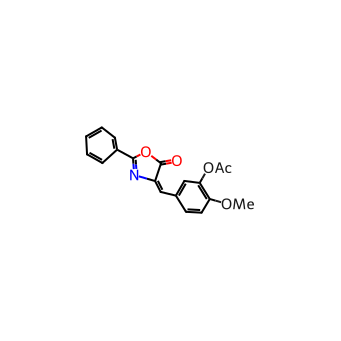 COc1ccc(C=C2N=C(c3ccccc3)OC2=O)cc1OC(C)=O